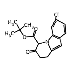 CC(C)(C)OC(=O)C1C(=O)CCc2cc3ccc(Cl)cc3n21